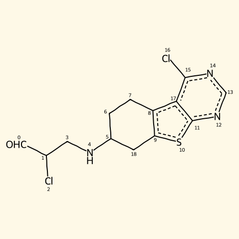 O=CC(Cl)CNC1CCc2c(sc3ncnc(Cl)c23)C1